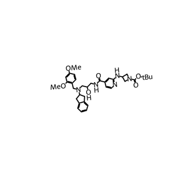 COc1ccc(CN(CC(O)CNC(=O)c2ccnc(NC3CN(C(=O)OC(C)(C)C)C3)c2)C2Cc3ccccc3C2)c(OC)c1